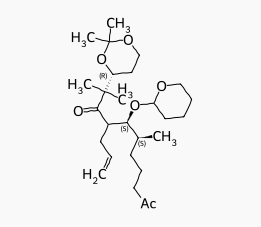 C=CCC(C(=O)C(C)(C)[C@H]1CCOC(C)(C)O1)[C@@H](OC1CCCCO1)[C@@H](C)CCCC(C)=O